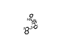 c1ccc(Nc2nnc(-c3sccc3SCc3ccnc4ccccc34)s2)cc1